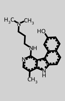 Cc1cnc(NCCCN(C)C)c2c1[nH]c1ccc3ccc(O)cc3c12